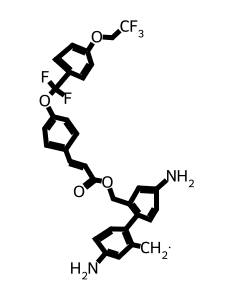 [CH2]c1cc(N)ccc1-c1ccc(N)cc1COC(=O)/C=C/c1ccc(OC(F)(F)c2ccc(OCC(F)(F)F)cc2)cc1